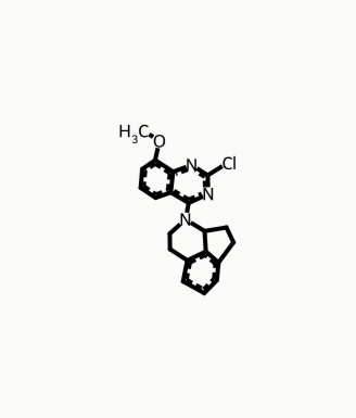 COc1cccc2c(N3CCc4cccc5c4C3CC5)nc(Cl)nc12